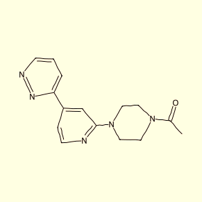 CC(=O)N1CCN(c2cc(-c3cccnn3)ccn2)CC1